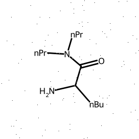 CCCCC(N)C(=O)N(CCC)CCC